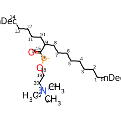 CCCCCCCCCCCCCCCCCCC(CCCCCCCCCCCCCC)C(=O)[P-]OCC[N+](C)(C)C